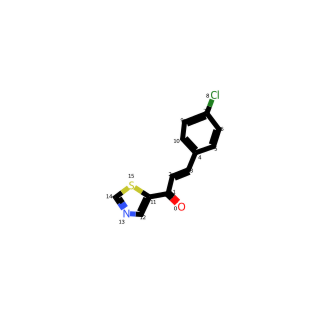 O=C(C=Cc1ccc(Cl)cc1)c1cncs1